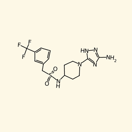 Nc1n[nH]c(N2CCC(NS(=O)(=O)Cc3cccc(C(F)(F)F)c3)CC2)n1